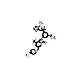 COc1cc(-n2cc3c(C(F)(F)F)cc(CN4CCC(C)(F)CC4)cn3c2=O)cc(C2(Cc3nncn3C)COC2)c1